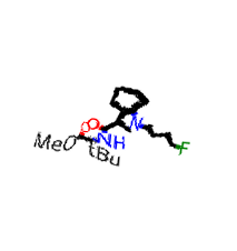 COC(=O)[C@@H](NC(=O)c1cn(CCCCF)c2ccccc12)C(C)(C)C